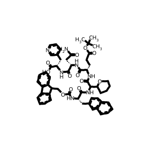 CC(C)(C)OC(=O)CC[C@H](NC(=O)C(NC(=O)[C@H](Cc1ccc2ccccc2c1)NC(=O)OCC1c2ccccc2-c2ccccc21)C1CCCCO1)C(=O)N[C@@H](CC(N)=O)C(=O)N[C@@H](Cc1cccnc1)C(=O)O